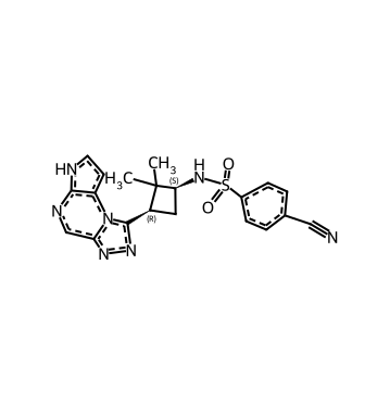 CC1(C)[C@@H](NS(=O)(=O)c2ccc(C#N)cc2)C[C@H]1c1nnc2cnc3[nH]ccc3n12